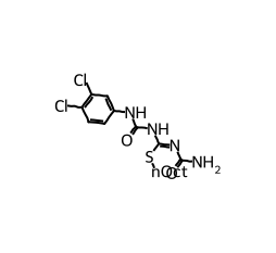 CCCCCCCCSC(=NC(N)=O)NC(=O)Nc1ccc(Cl)c(Cl)c1